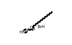 Br.CCCCCCCCCCCCCCCCCC1OC(CCN2CCNCC2)CS1